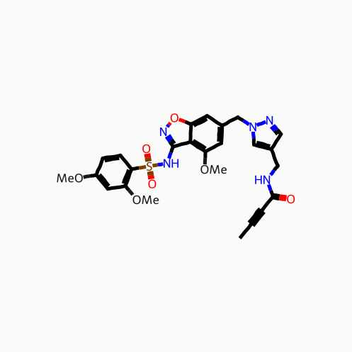 CC#CC(=O)NCc1cnn(Cc2cc(OC)c3c(NS(=O)(=O)c4ccc(OC)cc4OC)noc3c2)c1